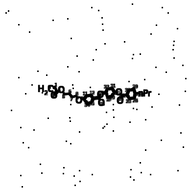 C=CC(=O)OCCCCOc1ccc(C(=O)Oc2ccc(OC(=O)c3ccc(CCC)cc3)cc2)cc1